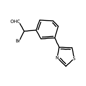 O=CC(Br)c1cccc(-c2cscn2)c1